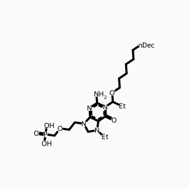 CCCCCCCCCCCCCCCCOC(CC)n1c(N)nc2c(c1=O)N(CC)CN2CCOCP(=O)(O)O